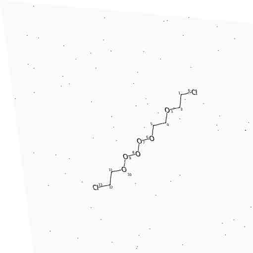 ClCCOCCOOOOOCCCl